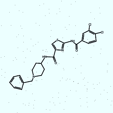 O=C(Nc1nc(C(=O)NC2CCN(Cc3ccccc3)CC2)cs1)c1ccc(Cl)c(Cl)c1